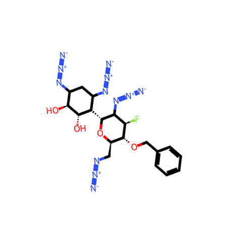 [N-]=[N+]=NC[C@H]1O[C@H](C2C(N=[N+]=[N-])CC(N=[N+]=[N-])[C@H](O)[C@H]2O)C(N=[N+]=[N-])[C@@H](F)[C@@H]1OCc1ccccc1